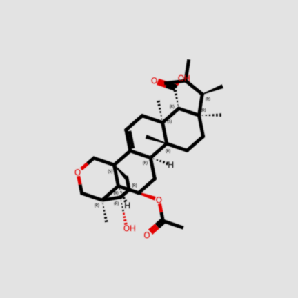 CC(=O)O[C@@H]1C[C@]23COC[C@@](C)([C@@H]2CC[C@H]2C3=CC[C@@]3(C)[C@H](C(=O)O)[C@@](C)([C@H](C)C(C)C)CC[C@]23C)[C@H]1O